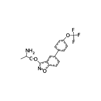 CC(N)COc1noc2ccc(-c3ccc(OC(F)(F)F)cc3)cc12